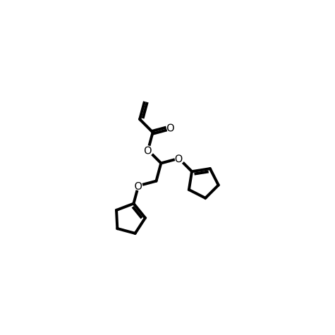 C=CC(=O)OC(COC1=CCCC1)OC1=CCCC1